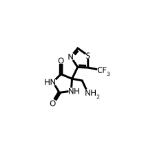 NCC1(c2ncsc2C(F)(F)F)NC(=O)NC1=O